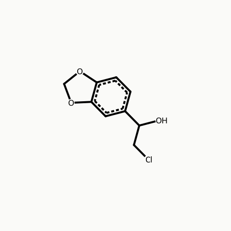 OC(CCl)c1ccc2c(c1)OCO2